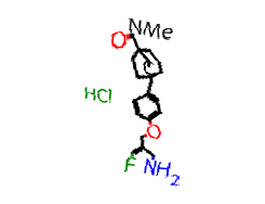 CNC(=O)C12CCCC(c3ccc(OCC(=CF)CN)cc3)(CC1)CC2.Cl